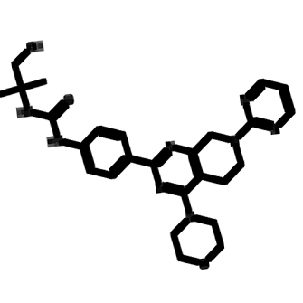 CC(C)(CO)NC(=O)Nc1ccc(-c2nc3c(c(N4CCOCC4)n2)CCN(c2ncccn2)C3)cc1